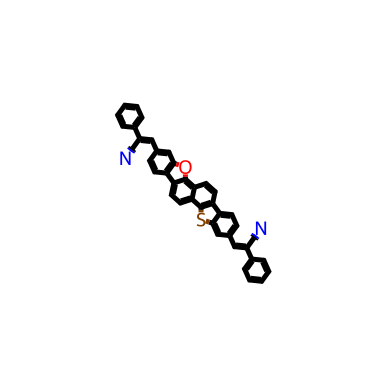 N#C/C(=C\c1ccc2c(c1)oc1c2ccc2c1ccc1c3ccc(/C=C(\C#N)c4ccccc4)cc3sc12)c1ccccc1